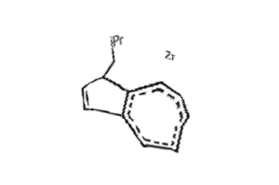 CC(C)C1C=Cc2ccccc21.[Zr]